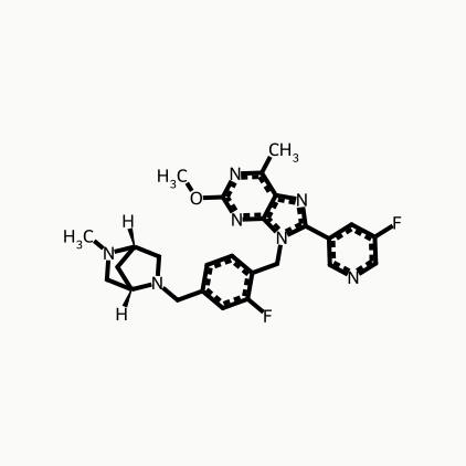 COc1nc(C)c2nc(-c3cncc(F)c3)n(Cc3ccc(CN4C[C@@H]5C[C@H]4CN5C)cc3F)c2n1